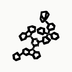 c1ccc(-c2ccc3c(c2)c2ccccc2n3-c2nc(-c3cccc([Si](c4ccccc4)(c4ccccc4)c4cccc(N5C6CC7CC(C6)CC5C7)c4)c3)nc(-n3c4ccccc4c4ccccc43)n2)cc1